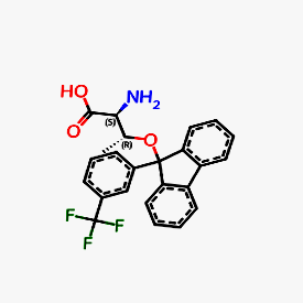 C[C@@H](OC1(c2cccc(C(F)(F)F)c2)c2ccccc2-c2ccccc21)[C@H](N)C(=O)O